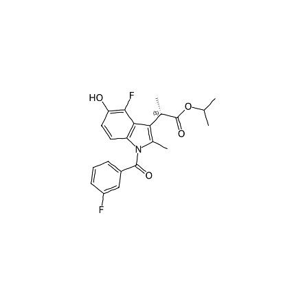 Cc1c([C@H](C)C(=O)OC(C)C)c2c(F)c(O)ccc2n1C(=O)c1cccc(F)c1